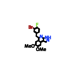 COc1cc2c(Cc3ccc(F)c(Br)c3)nc3[nH]ncc3c2cc1OC